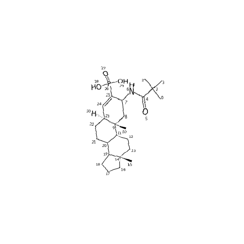 CC(C)(C)C(=O)NC1C[C@]2(C)C3CC[C@]4(C)CCCC4C3CC[C@H]2C=C1P(=O)(O)O